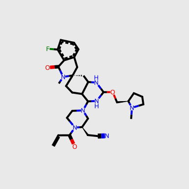 C=CC(=O)N1CCN(C2NC(OC[C@H]3CCCN3C)NC3C[C@@]4(CCC32)Cc2cccc(F)c2C(=O)N4C)C[C@H]1CC#N